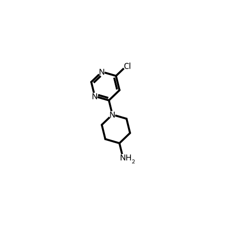 NC1CCN(c2cc(Cl)ncn2)CC1